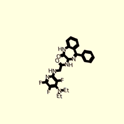 CCN(CC)c1c(F)c(F)nc(NCC(=O)NC2N=C(c3ccccc3)c3ccccc3NC2=O)c1F